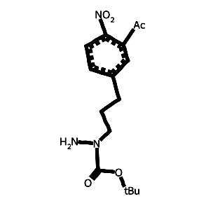 CC(=O)c1cc(CCCN(N)C(=O)OC(C)(C)C)ccc1[N+](=O)[O-]